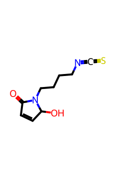 O=C1C=CC(O)N1CCCCN=C=S